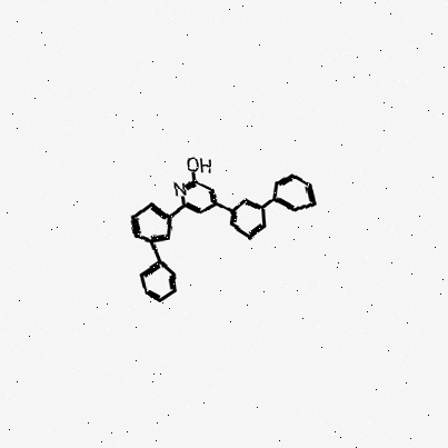 Oc1cc(-c2cccc(-c3ccccc3)c2)cc(-c2cccc(-c3ccccc3)c2)n1